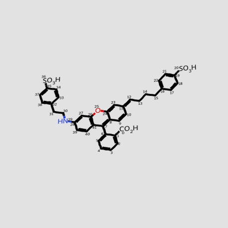 O=C(O)c1ccccc1C1=c2cc/c(=C\CCCc3ccc(S(=O)(=O)O)cc3)cc2Oc2cc(NCCc3ccc(S(=O)(=O)O)cc3)ccc21